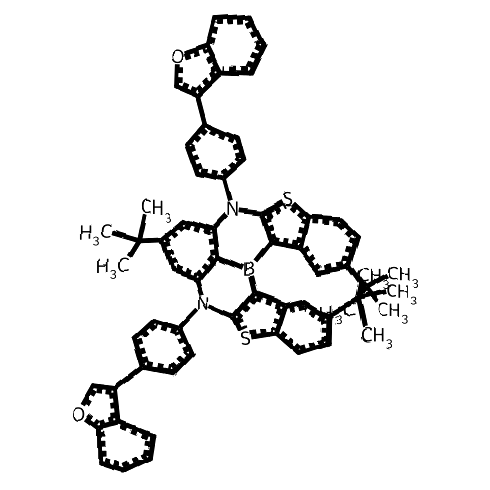 CC(C)(C)c1cc2c3c(c1)N(c1ccc(-c4coc5ccccc45)cc1)c1sc4ccc(C(C)(C)C)cc4c1B3c1c(sc3ccc(C(C)(C)C)cc13)N2c1ccc(-c2coc3ccccc23)cc1